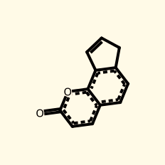 O=c1ccc2ccc3c(c2o1)C=CC3